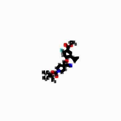 COC(=O)c1cc(C2CC2)c(OCC2(C#N)CCN(C(=O)OC(C)(C)C)CC2)cc1F